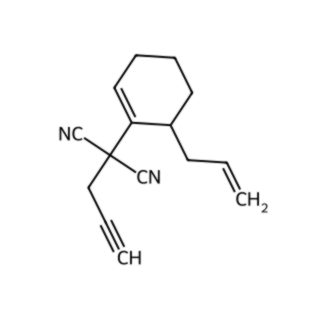 C#CCC(C#N)(C#N)C1=CCCCC1CC=C